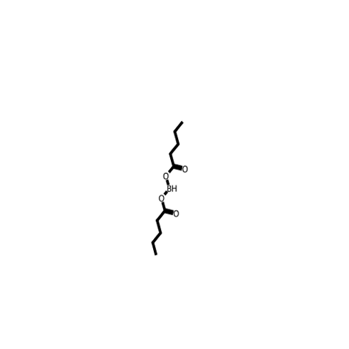 CCCCC(=O)OBOC(=O)CCCC